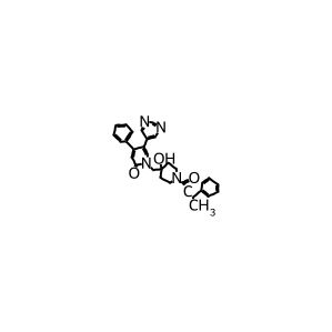 CC(CC(=O)N1CCC(O)(Cn2cc(-c3cncnc3)c(-c3ccccc3)cc2=O)CC1)c1ccccc1